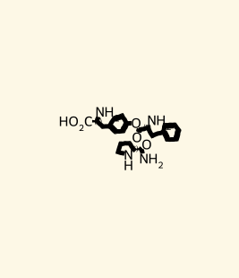 NC(=O)[C@@H]1CCCN1.N[C@@H](Cc1ccc(OC(=O)[C@@H](N)Cc2ccccc2)cc1)C(=O)O